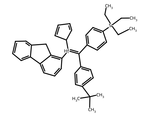 CC[Si](CC)(CC)c1ccc([C](c2ccc(C(C)(C)C)cc2)=[Hf]([c]2cccc3c2Cc2ccccc2-3)[CH]2C=CC=C2)cc1